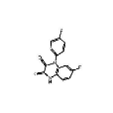 O=c1[nH]c2ccc(F)cc2n(-c2ccc(F)cc2)c1=O